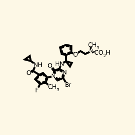 Cc1c(F)cc(C(=O)NC2CC2)cc1-n1cc(Br)nc(NC2(c3ccccc3OCCN(C)C(=O)O)CC2)c1=O